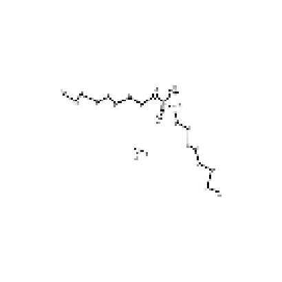 CCCCCCCCOP(=O)(O)OCCCCCCCC.N